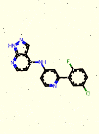 Fc1ccc(Cl)cc1-c1cc(Nc2ccnc3[nH]ncc23)ccn1